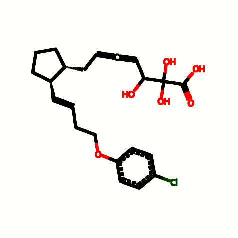 O=C(O)C(O)(O)C(O)C=C=CC[C@H]1CCC[C@@H]1/C=C/CCOc1ccc(Cl)cc1